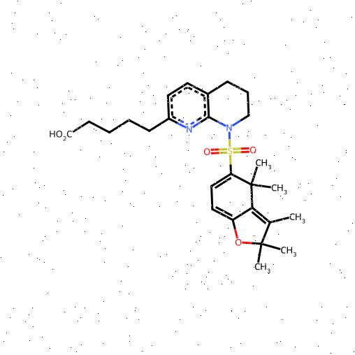 CC1=C2C(=CC=C(S(=O)(=O)N3CCCc4ccc(CCCCC(=O)O)nc43)C2(C)C)OC1(C)C